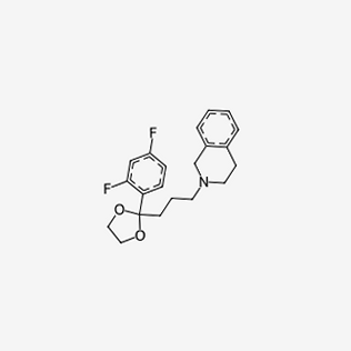 Fc1ccc(C2(CCCN3CCc4ccccc4C3)OCCO2)c(F)c1